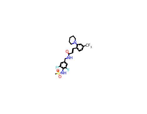 CS(=O)(=O)Nc1c(F)cc(CNC(=O)C=Cc2ccc(C(F)(F)F)cc2N2CCCCC2)cc1F